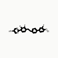 CCCc1cnc(-c2ccc(CCc3ccc(-c4ccc(OCC)c(F)c4)cc3)c(F)c2F)nc1